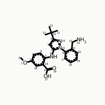 COc1ccc(Nc2cc(C(C)(C)C)nn2-c2ccccc2CN)c(C(=O)O)c1